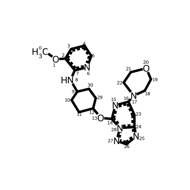 COc1cccnc1NC1CCC(Oc2nc(N3CCOCC3)cc3ncnn23)CC1